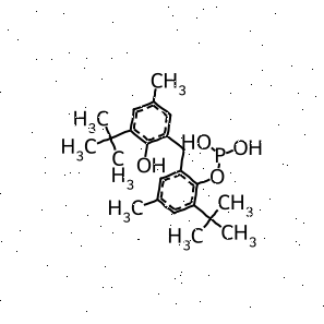 Cc1cc(Cc2cc(C)cc(C(C)(C)C)c2OP(O)O)c(O)c(C(C)(C)C)c1